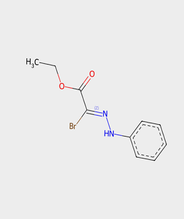 CCOC(=O)/C(Br)=N/Nc1ccccc1